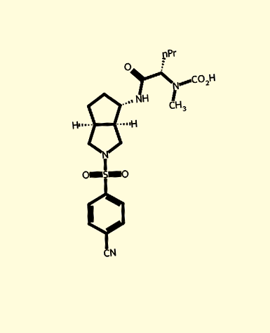 CCC[C@@H](C(=O)N[C@H]1CC[C@@H]2CN(S(=O)(=O)c3ccc(C#N)cc3)C[C@@H]21)N(C)C(=O)O